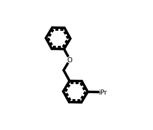 CC(C)c1cccc(COc2ccccc2)c1